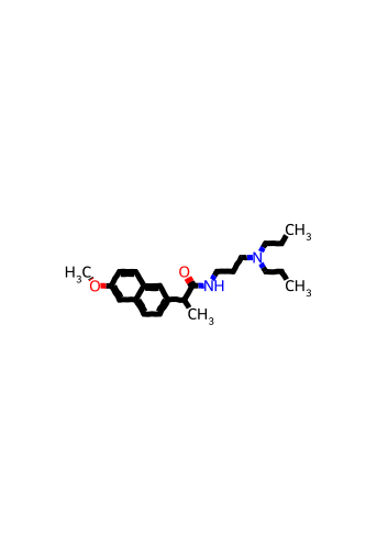 CCCN(CCC)CCCNC(=O)C(C)c1ccc2cc(OC)ccc2c1